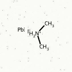 C[NH2+]C.[I-].[Pb]